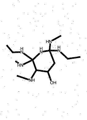 CCNC1(NC)CC(O)C(NC)C(NC)(NCC)N1